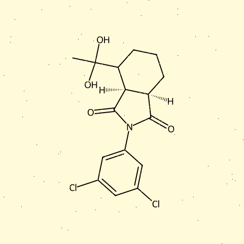 CC(O)(O)C1CCC[C@H]2C(=O)N(c3cc(Cl)cc(Cl)c3)C(=O)[C@@H]12